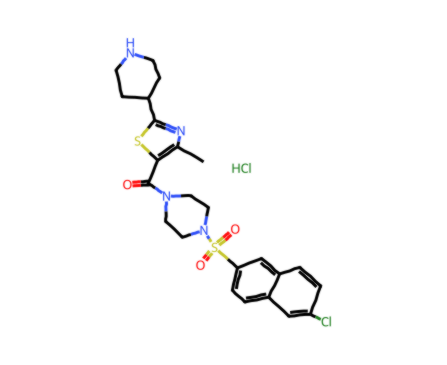 Cc1nc(C2CCNCC2)sc1C(=O)N1CCN(S(=O)(=O)c2ccc3cc(Cl)ccc3c2)CC1.Cl